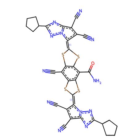 N#Cc1c2c(c(C(N)=O)c3c1S/C(=c1/c(C#N)c(C#N)c4nc(C5CCCC5)nn14)S3)S/C(=c1/c(C#N)c(C#N)c3nc(C4CCCC4)nn13)S2